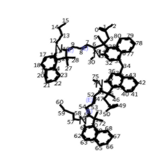 C=C(C)CC1(C)C(/C=C/C=C2/N(CCCC)c3ccc4ccccc4c3C2(C)C)=[N+](C)c2cc(Cc3cc4c(c5ccccc35)C(C)(CC(=C)C)C(/C=C/C=C3/N(CCCC)c5ccc6ccccc6c5C3(C)C)=[N+]4C)c3ccccc3c21